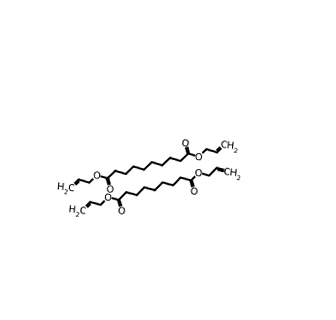 C=CCOC(=O)CCCCCCCC(=O)OCC=C.C=CCOC(=O)CCCCCCCCC(=O)OCC=C